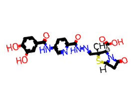 C[C@@]1(/C=N/NC(=O)c2ccc(NC(=O)c3ccc(O)c(O)c3)cn2)S[C@@H]2CC(=O)N2[C@H]1C(=O)O